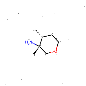 C[C@@H]1CCOC[C@]1(C)N